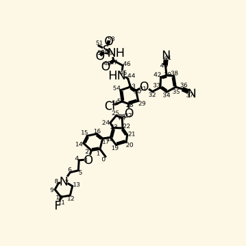 Cc1c(OCCCN2CCC(F)CC2)cccc1-c1cccc2c1CC[C@@H]2Oc1cc(OCc2cc(C#N)cc(C#N)c2)c(CNCC(=O)NS(C)(=O)=O)cc1Cl